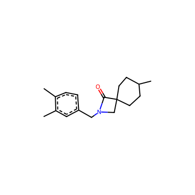 Cc1ccc(CN2CC3(CCC(C)CC3)C2=O)cc1C